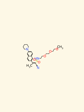 COCCOCCOCCNS(=O)(=O)C(C#N)=C(C)c1ccc2cc(N3CCCCC3)ccc2c1